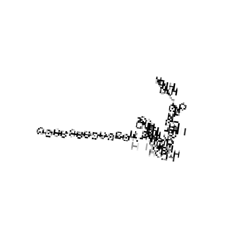 COCCOCCOCCOCCOCCOCCOCCOCCOCCOCCOCCOCCC(=O)NCCCC[C@H](NC(=O)[C@H](CNC(=O)OC(C)(C)C)N1C(=O)C=CC1=O)C(=O)NCCC(=O)Nc1cc(O[C@@H]2O[C@H](C(=O)O)[C@@H](O)[C@H](O)[C@H]2O)ccc1COC(=O)Nc1cccc(C(=O)N(C)CCON(C(=O)CCCCCCNC(=O)Nc2ccncc2)C2CCCCC2)c1